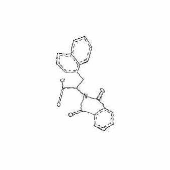 O=C(Cl)C(Cc1cccc2ccccc12)N1C(=O)c2ccccc2C1=O